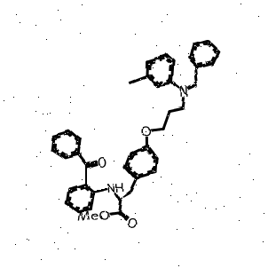 COC(=O)[C@H](Cc1ccc(OCCCN(Cc2ccccc2)c2cccc(C)c2)cc1)Nc1ccccc1C(=O)c1ccccc1